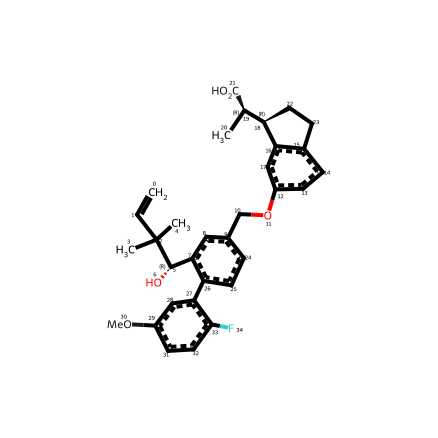 C=CC(C)(C)[C@@H](O)c1cc(COc2ccc3c(c2)[C@@H]([C@@H](C)C(=O)O)CC3)ccc1-c1cc(OC)ccc1F